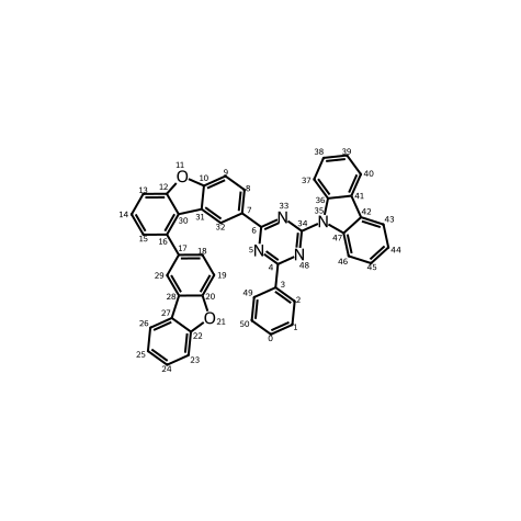 c1ccc(-c2nc(-c3ccc4oc5cccc(-c6ccc7oc8ccccc8c7c6)c5c4c3)nc(-n3c4ccccc4c4ccccc43)n2)cc1